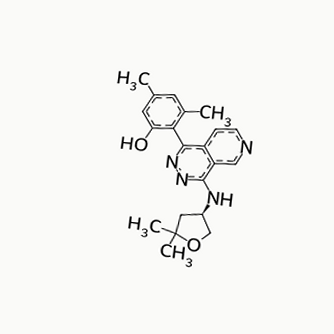 Cc1cc(C)c(-c2nnc(N[C@H]3COC(C)(C)C3)c3cnccc23)c(O)c1